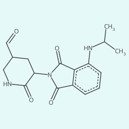 CC(C)Nc1cccc2c1C(=O)N(C1CC(C=O)CNC1=O)C2=O